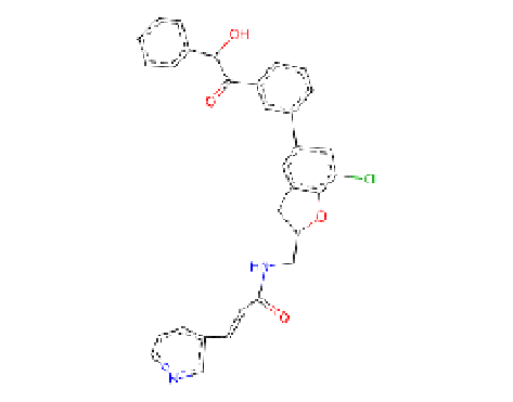 O=C(C=Cc1cccnc1)NCC1Cc2cc(-c3cccc(C(=O)C(O)c4ccccc4)c3)cc(Cl)c2O1